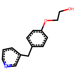 OCCOc1ccc(Cc2cccnc2)cc1